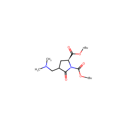 CCCCOC(=O)[C@@H]1CC(CN(C)C)C(=O)N1C(=O)OC(C)(C)C